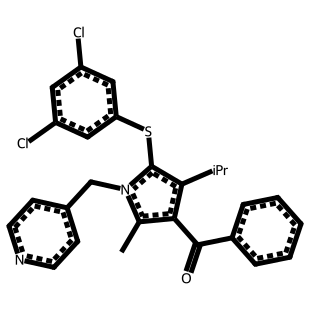 Cc1c(C(=O)c2ccccc2)c(C(C)C)c(Sc2cc(Cl)cc(Cl)c2)n1Cc1ccncc1